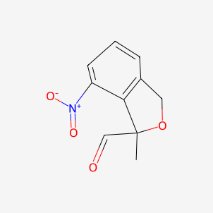 CC1(C=O)OCc2cccc([N+](=O)[O-])c21